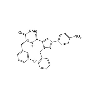 CNC(=O)[C@H](Cc1cccc(Br)c1)NC(=O)c1cc(-c2ccc([N+](=O)[O-])cc2)nn1Cc1ccccc1